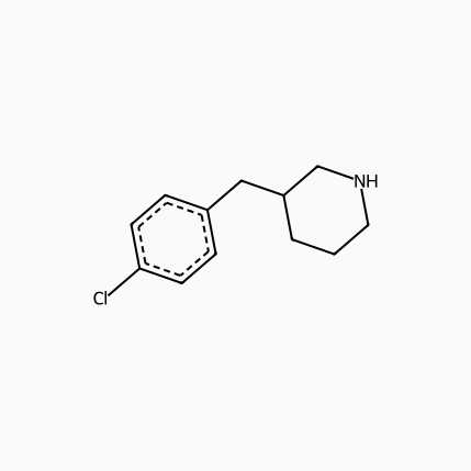 Clc1ccc(CC2CCCNC2)cc1